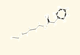 CCOCCCCOC(=O)Cc1ccccc1